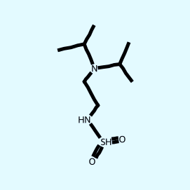 CC(C)N(CCN[SH](=O)=O)C(C)C